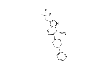 N#Cc1c(N2CCC(c3ccccc3)CC2)ccn2c(CC(F)(F)F)cnc12